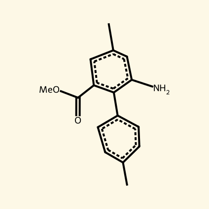 COC(=O)c1cc(C)cc(N)c1-c1ccc(C)cc1